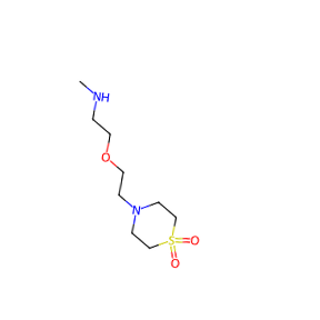 CNCCOCCN1CCS(=O)(=O)CC1